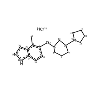 Cc1c(OC2CCCC(N3CCCC3)C2)ccc2[nH]ncc12.Cl